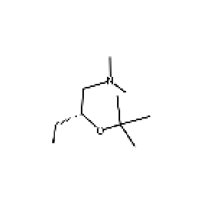 CC[C@H](CN(C)C)OC(C)(C)C